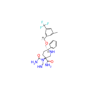 Cc1cc([C@@H](C)OC[C@@]2(c3ccccc3)CC[C@](C(N)=O)(N(C=N)C(N)=O)CN2)cc(C(F)(F)F)c1